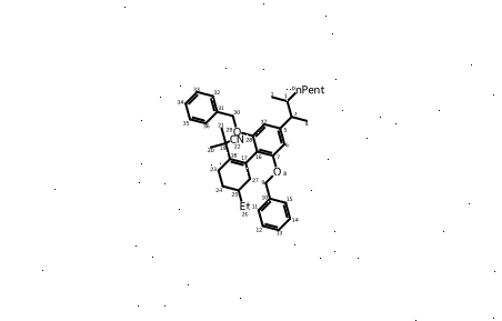 CCCCCC(C)C(C)c1cc(OCc2ccccc2)c(C2=C(C(C)(C)C#N)CCC(CC)C2)c(OCc2ccccc2)c1